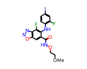 COCCONC(=O)c1cc2onnc2c(F)c1Nc1ccc(I)cc1F